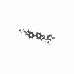 CN(c1nc2ccc(-c3ccc4nn(C)cc4c3)cc2s1)C1CCNC1